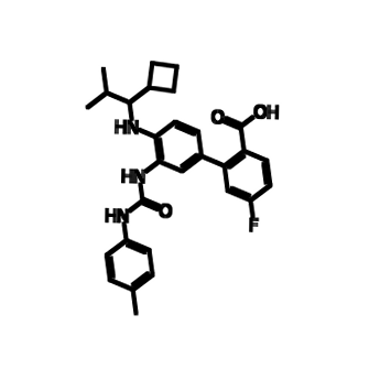 Cc1ccc(NC(=O)Nc2cc(-c3cc(F)ccc3C(=O)O)ccc2NC(C(C)C)C2CCC2)cc1